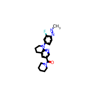 C/N=N/c1ccc(N2CCCc3cc(C(=O)N4CCCCC4)cnc32)cc1F